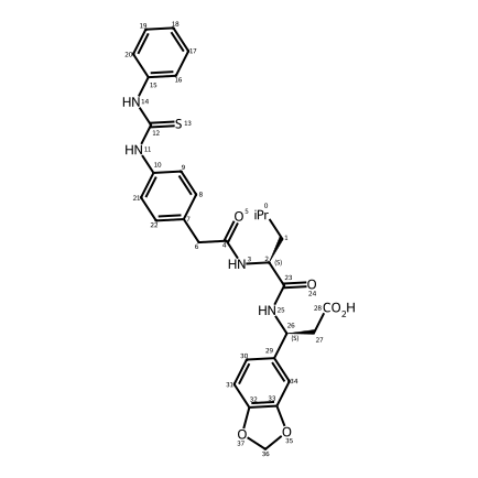 CC(C)C[C@H](NC(=O)Cc1ccc(NC(=S)Nc2ccccc2)cc1)C(=O)N[C@@H](CC(=O)O)c1ccc2c(c1)OCO2